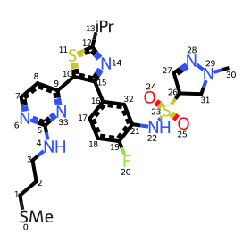 CSCCCNc1nccc(-c2sc(C(C)C)nc2-c2ccc(F)c(NS(=O)(=O)C3C=NN(C)C3)c2)n1